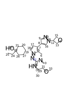 C=N/C(=N\n1c(C)c(-c2cnn(C3COC3)c2)cc1[C@H]1CC[C@](O)(CC)CC1)N[C@@H](C)COC